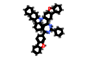 C1=CC(c2ccc3c(c2)oc2ccccc23)=NC(c2ccccc2)=NC=1c1cc2c(cc1-n1c3ccccc3c3cc4ccccc4cc31)oc1ccccc12